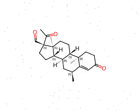 CC(=O)[C@@]1(C=O)CC[C@H]2[C@@H]3C[C@H](C)C4=CC(=O)CC[C@]4(C)[C@H]3CC[C@@]21C